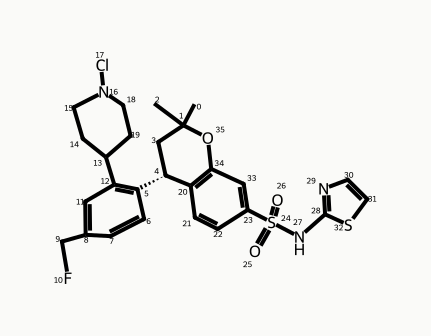 CC1(C)C[C@@H](c2ccc(CF)cc2C2CCN(Cl)CC2)c2ccc(S(=O)(=O)Nc3nccs3)cc2O1